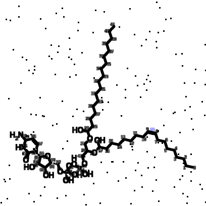 CCCCCCCC/C=C\CCCCCCCC(O)OC(COC(O)CCCCCCCCCCCCCCCCC)CO[PH](O)(O)OP(=O)(O)OC[C@H]1O[C@@H](N2C=CC(N)NC2=O)[C@@H](O)C1O